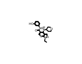 CCn1ncc2c(NC3CCOCC3)c(C(=O)Nc3cccc(O)c3)cnc21